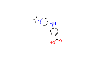 CC(C)(C)N1CCC(Nc2ccc(C(=O)O)cc2)CC1